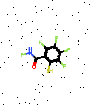 O=C(NF)c1c(F)c(F)c(F)c(F)c1S